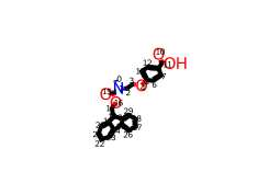 CN(CCOc1ccc(C(=O)O)cc1)C(=O)OCC1c2ccccc2-c2ccccc21